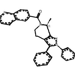 C[C@H]1c2nn(-c3ccccc3)c(-c3ccccc3)c2CCN1C(=O)c1ccc2ncccc2c1